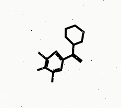 C=C(c1cc(C)c(C)c(C)c1)C1CCCCC1